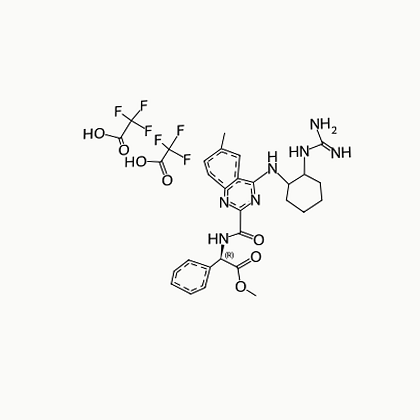 COC(=O)[C@H](NC(=O)c1nc(NC2CCCCC2NC(=N)N)c2cc(C)ccc2n1)c1ccccc1.O=C(O)C(F)(F)F.O=C(O)C(F)(F)F